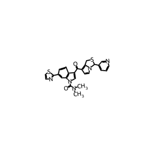 CN(C)C(=O)n1cc(C(=O)c2ccn3c2CSC3c2cccnc2)c2ccc(-c3nccs3)cc21